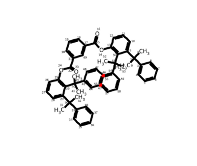 CC(C)(c1ccccc1)c1cccc(OC(=O)c2cccc(C(=O)Oc3cccc(C(C)(C)c4ccccc4)c3C(C)(C)c3ccccc3)c2)c1C(C)(C)c1ccccc1